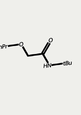 CCCOCC(=O)NC(C)(C)C